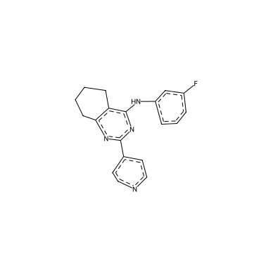 Fc1cccc(Nc2nc(-c3ccncc3)nc3c2CCCC3)c1